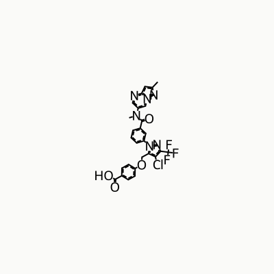 Cc1cc2ncc(N(C)C(=O)c3cccc(-n4nc(C(F)(F)F)c(Cl)c4COc4ccc(C(=O)O)cc4)c3)cn2n1